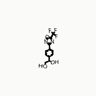 OCC(O)c1ccc(-c2noc(C(F)(F)F)n2)cc1